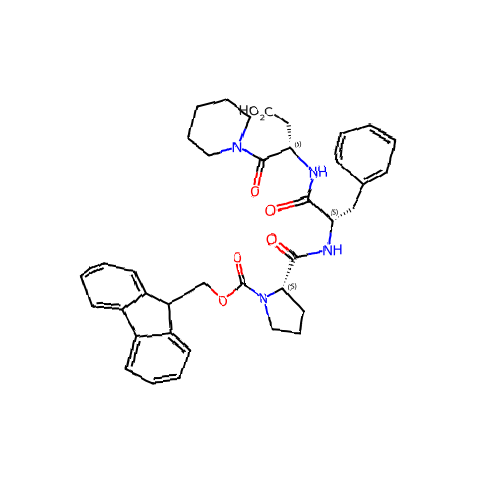 O=C(O)C[C@H](NC(=O)[C@H](Cc1ccccc1)NC(=O)[C@@H]1CCCN1C(=O)OCC1c2ccccc2-c2ccccc21)C(=O)N1CCCCC1